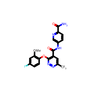 COc1cc(F)ccc1Oc1nnc(C(F)(F)F)cc1C(=O)Nc1ccc(C(N)=O)nc1